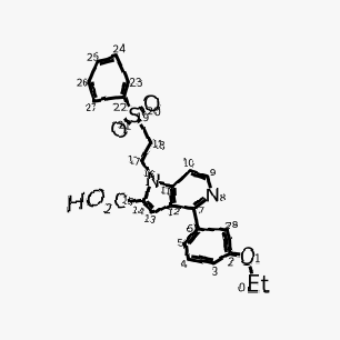 CCOc1cccc(-c2nccc3c2cc(C(=O)O)n3CCS(=O)(=O)c2ccccc2)c1